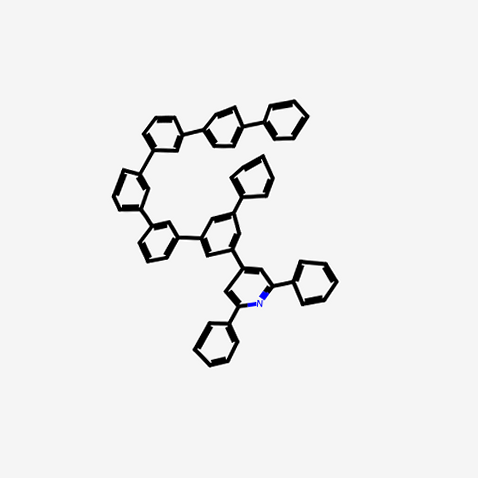 c1ccc(-c2ccc(-c3cccc(-c4cccc(-c5cccc(-c6cc(-c7ccccc7)cc(-c7cc(-c8ccccc8)nc(-c8ccccc8)c7)c6)c5)c4)c3)cc2)cc1